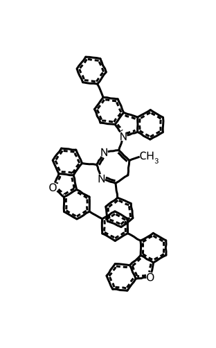 CC1=C(n2c3ccccc3c3cc(-c4ccccc4)ccc32)N=C(c2cccc3oc4ccc(-c5ccc(-c6cccc7oc8ccccc8c67)cc5)cc4c23)N=C(c2ccccc2)C1